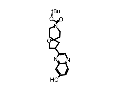 CC(C)(C)OC(=O)N1CCC2(CC1)CC(c1cnc3ccc(O)cc3n1)CO2